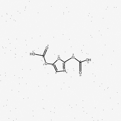 O=C(O)Oc1cnc(OC(=O)O)o1